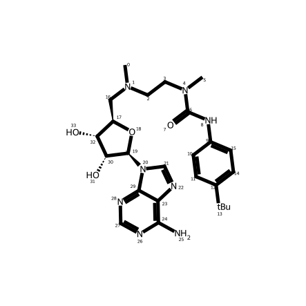 CN(CCN(C)C(=O)Nc1ccc(C(C)(C)C)cc1)C[C@H]1O[C@@H](n2cnc3c(N)ncnc32)[C@H](O)[C@@H]1O